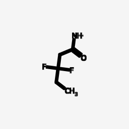 CCC(F)(F)CC([NH])=O